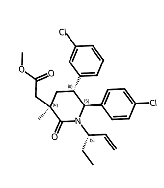 C=C[C@H](CC)N1C(=O)[C@@](C)(CC(=O)OC)C[C@H](c2cccc(Cl)c2)[C@H]1c1ccc(Cl)cc1